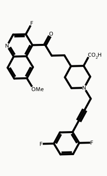 COc1ccc2ncc(F)c(C(=O)CCC3CCN(CC#Cc4cc(F)ccc4F)CC3C(=O)O)c2c1